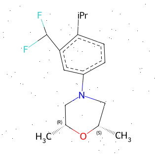 CC(C)c1ccc(N2C[C@@H](C)O[C@@H](C)C2)cc1C(F)F